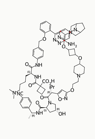 CC(C)[C@@H](C(=O)N1C[C@H](O)C[C@H]1C(=O)N[C@H](C)c1ccc(C#N)cc1)c1cc(OCCN2CCC(OC3CC(Oc4cc(N5C6CCC5CN(c5cc(-c7ccccc7OCc7ccc(NC(=O)[C@H](CCCCN(C)C)NC(=O)C8(C(=O)O)CCC8)cc7)nnc5N)C6)ccn4)C3)CC2)no1